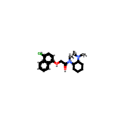 CN(C)C1CCCCC1N(C)C(=O)COc1ccc(Cl)c2ccccc12